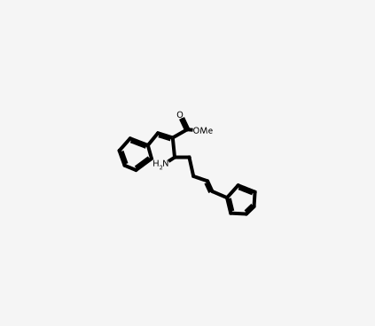 COC(=O)C(=Cc1ccccc1)C(N)CCC=Cc1ccccc1